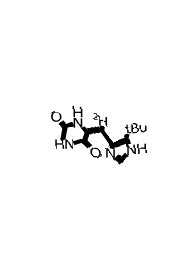 [2H]C(=C1NC(=O)CNC1=O)c1nc[nH]c1C(C)(C)C